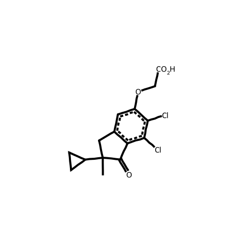 CC1(C2CC2)Cc2cc(OCC(=O)O)c(Cl)c(Cl)c2C1=O